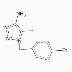 CCc1ccc(Cn2nnc(N)c2C)cc1